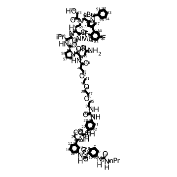 CCCNC(=O)Nc1cccc(S(=O)(=O)Nc2cccc([C@@H](CC(=O)O)NC(=O)Nc3ccc(NC(=O)NCCOCCOCCOCCC(=O)N[C@@H](CC(N)=O)C(O)N4CCC[C@H]4C(=O)N[C@H](C(=O)N[C@@H](CCN(C(=O)CO)[C@@H](c4cc(-c5cc(F)ccc5F)cn4Cc4ccccc4)C(C)(C)C)C(=O)NC)C(C)C)cc3)c2)c1